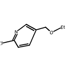 CCOCc1ccc(Cl)nc1